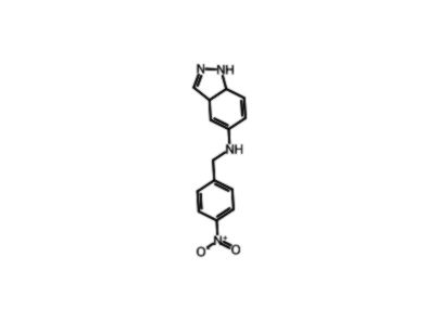 O=[N+]([O-])c1ccc(CNC2=CC3C=NNC3C=C2)cc1